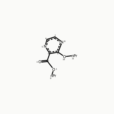 CCCOC(=O)c1nccnc1OCCC